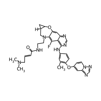 Cc1cc(Nc2ncnc3cc4c(c(F)c23)N(CCNC(=O)/C=C/CN(C)C)C[C@@H]2CC2O4)ccc1Oc1ccn2ncnc2c1